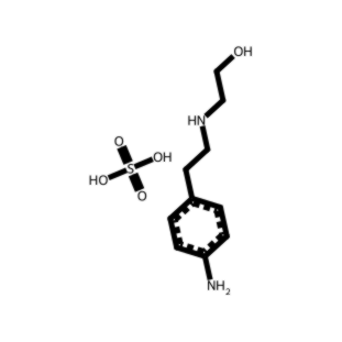 Nc1ccc(CCNCCO)cc1.O=S(=O)(O)O